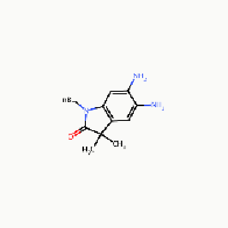 CCCCN1C(=O)C(C)(C)c2cc(N)c(N)cc21